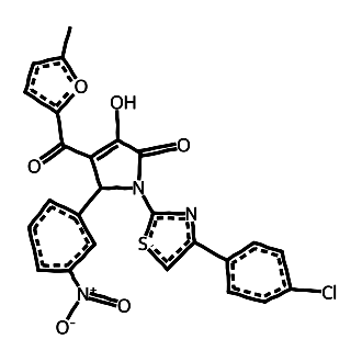 Cc1ccc(C(=O)C2=C(O)C(=O)N(c3nc(-c4ccc(Cl)cc4)cs3)C2c2cccc([N+](=O)[O-])c2)o1